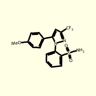 COc1ccc(-c2cc(C(F)(F)F)nn2-c2ccccc2S(N)(=O)=O)cc1